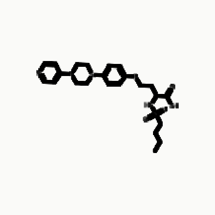 CCCCS(=O)(=O)NC(CCOc1ccc(N2CCN(c3ccncc3)CC2)cc1)C(=O)O